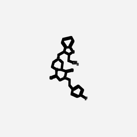 CCC1Oc2ccccc2C1CN1CCN2C(=O)CN(CCc3ccc(F)cc3)C(=O)C2C1